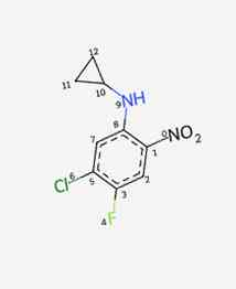 O=[N+]([O-])c1cc(F)c(Cl)cc1NC1CC1